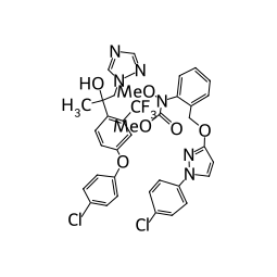 CC(O)(Cn1cncn1)c1ccc(Oc2ccc(Cl)cc2)cc1C(F)(F)F.COC(=O)N(OC)c1ccccc1COc1ccn(-c2ccc(Cl)cc2)n1